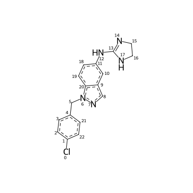 Clc1ccc(Cn2ncc3cc(NC4=NCCN4)ccc32)cc1